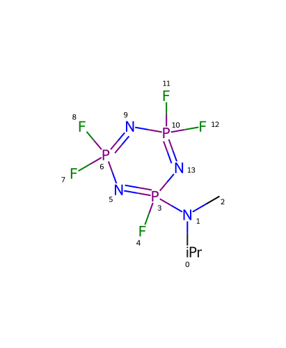 CC(C)N(C)P1(F)=NP(F)(F)=NP(F)(F)=N1